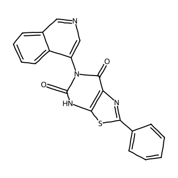 O=c1[nH]c2sc(-c3ccccc3)nc2c(=O)n1-c1cncc2ccccc12